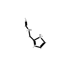 S=CNCc1ncc[nH]1